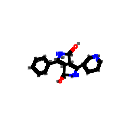 O=C1NC(c2cccnc2)=C2C(=O)NC(c3ccccc3)=C12